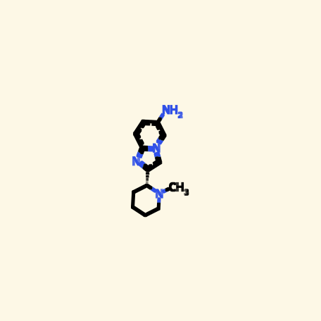 CN1CCCC[C@@H]1c1cn2cc(N)ccc2n1